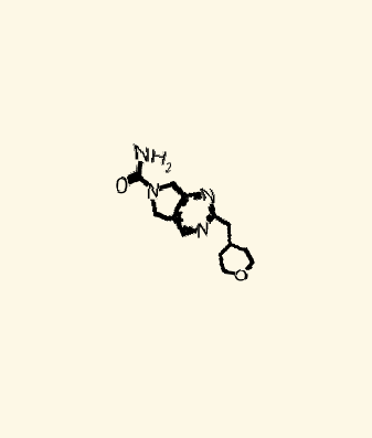 NC(=O)N1Cc2cnc(CC3CCOCC3)nc2C1